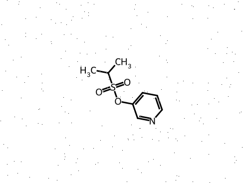 CC(C)S(=O)(=O)Oc1cccnc1